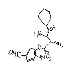 NC(NC1CCCCC1)C(N)C(=O)Oc1cc(C=O)ccc1[N+](=O)[O-]